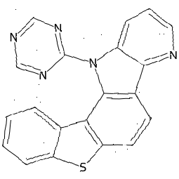 c1ccc2c(c1)sc1ccc3c4ncccc4n(-c4ncncn4)c3c12